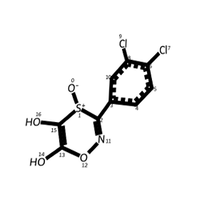 [O-][S+]1C(c2ccc(Cl)c(Cl)c2)=NOC(O)=C1O